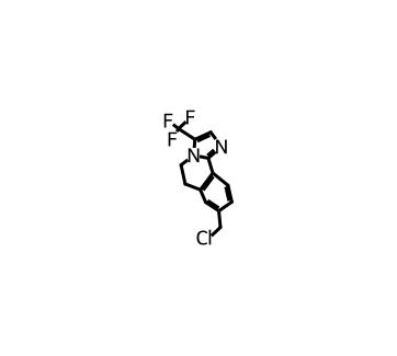 FC(F)(F)c1cnc2n1CCc1cc(CCl)ccc1-2